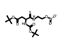 CC(C)(C)OC(=O)CC(NC(=O)OC(C)(C)C)C(=S)NCCO[N+](=O)[O-]